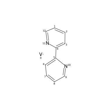 [V].c1ccc(-c2ccccn2)nc1